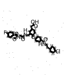 O=C(O)Cc1ccc(Oc2ccc(C(=O)NCCc3ccc(Cl)cc3)cc2)c(CNC(=O)CNS(=O)(=O)c2ccc(F)cc2)c1